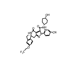 N#Cc1ccc(-n2nc3c(c2C(=O)N[C@H]2CC[C@H](O)CC2)C(=O)N[C@@]2(CCc4cc(OCC(F)(F)F)ccc42)C3)nc1